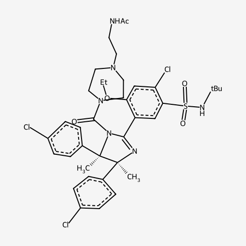 CCOc1cc(Cl)c(S(=O)(=O)NC(C)(C)C)cc1C1=N[C@@](C)(c2ccc(Cl)cc2)[C@@](C)(c2ccc(Cl)cc2)N1C(=O)N1CCN(CCNC(C)=O)CC1